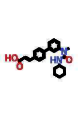 CN(C(=O)NC1CCCCC1)c1cccc(-c2ccc(C=CC(=O)O)cc2)c1